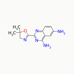 CC1(C)CN=C(c2nc(N)c3cc(N)ccc3n2)O1